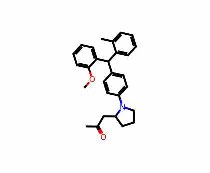 COc1ccccc1C(c1ccc(N2CCCC2CC(C)=O)cc1)c1ccccc1C